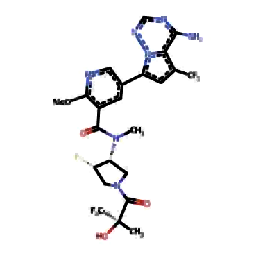 COc1ncc(-c2cc(C(F)(F)F)c3c(N)ncnn23)cc1C(=O)N(C)[C@@H]1CN(C(=O)[C@@](C)(O)C(F)(F)F)C[C@@H]1F